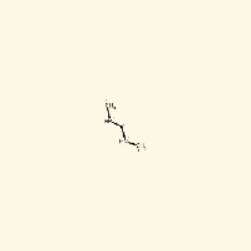 CNCPC